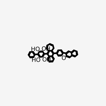 Oc1c(O)c(-c2c3c(c(-c4ccc5c(c4)oc4cc6ccccc6cc45)c4ccccc24)CC=CC=C3)c(O)c(O)c1-c1ccccc1